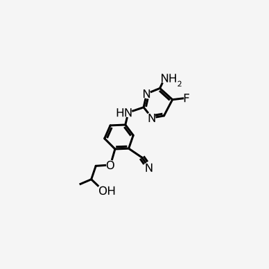 CC(O)COc1ccc(Nc2ncc(F)c(N)n2)cc1C#N